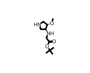 CO[C@H]1CNC[C@@H]1NCC(=O)OC(C)(C)C